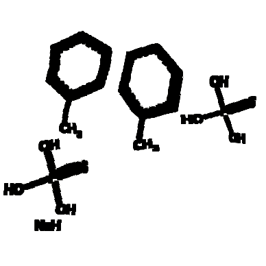 Cc1ccccc1.Cc1ccccc1.OP(O)(O)=S.OP(O)(O)=S.[NaH]